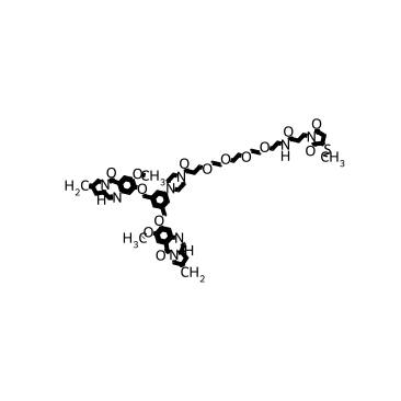 C=C1C[C@H]2C=Nc3cc(OCc4cc(COc5cc6c(cc5OC)C(=O)N5CC(=C)C[C@H]5C=N6)cc(N5CCN(C(=O)CCOCCOCCOCCOCCNC(=O)CCN6C(=O)CC(SC)C6=O)CC5)c4)c(OC)cc3C(=O)N2C1